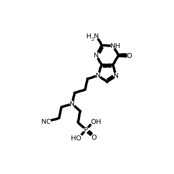 N#CCCN(CCCn1cnc2c(=O)[nH]c(N)nc21)CCP(=O)(O)O